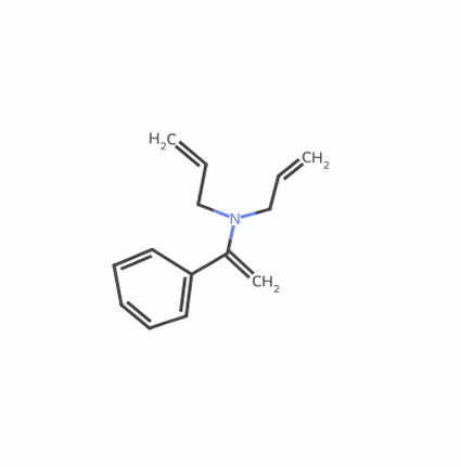 C=CCN(CC=C)C(=C)c1ccccc1